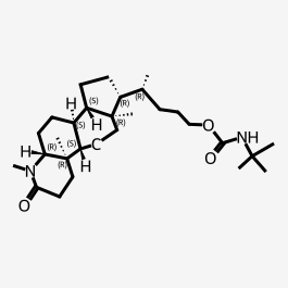 C[C@H](CCCOC(=O)NC(C)(C)C)[C@H]1CC[C@H]2[C@@H]3CC[C@H]4N(C)C(=O)CC[C@]4(C)[C@H]3CC[C@]12C